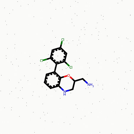 NCC1CNc2cccc(-c3c(Cl)cc(Cl)cc3Cl)c2O1